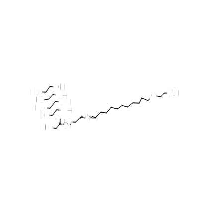 O=C(O)CO.OCCO.OCCO.OCCO.OCCO.OCCO.OCCOCCCCCCCCCCCS